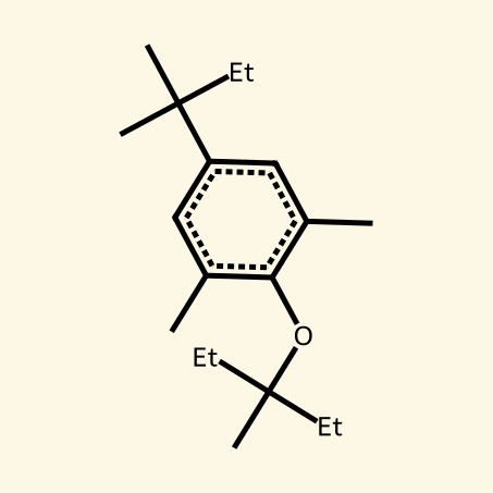 CCC(C)(CC)Oc1c(C)cc(C(C)(C)CC)cc1C